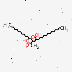 C=C(C(=O)O)C(C=C(CCCCCCCCCCCCC)C(=O)O)CCCCCCCCCCCCC